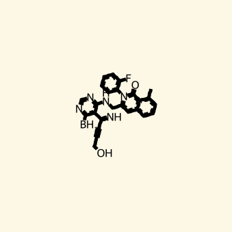 Bc1ncnc(NCc2cc3cccc(C)c3c(=O)n2-c2ccccc2F)c1C(=N)C#CCO